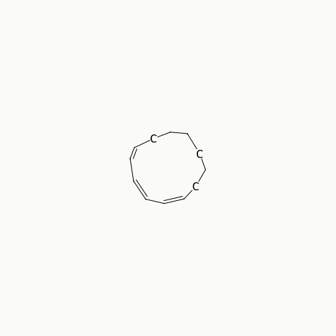 C1=C\C=C/CCCCCC\C=C/1